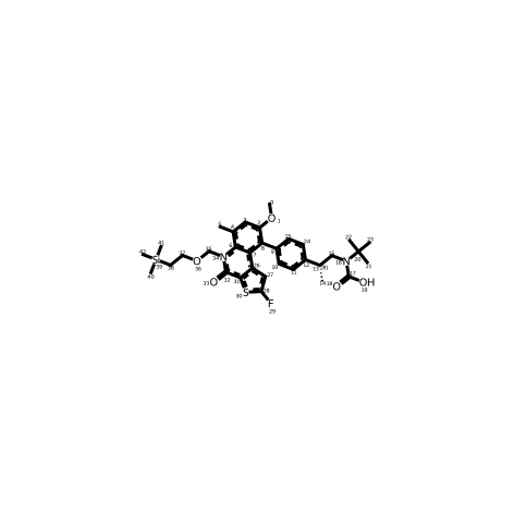 COc1cc(C)c2c(c1-c1ccc([C@@H](C)CN(C(=O)O)C(C)(C)C)cc1)c1cc(F)sc1c(=O)n2COCC[Si](C)(C)C